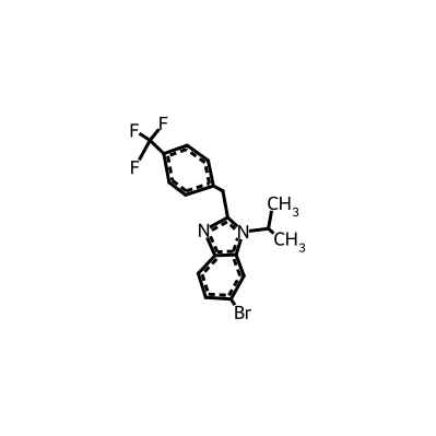 CC(C)n1c(Cc2ccc(C(F)(F)F)cc2)nc2ccc(Br)cc21